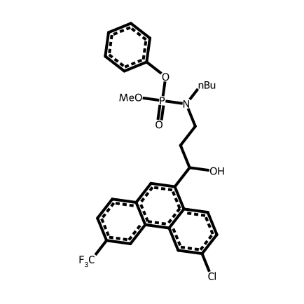 CCCCN(CCC(O)c1cc2ccc(C(F)(F)F)cc2c2cc(Cl)ccc12)P(=O)(OC)Oc1ccccc1